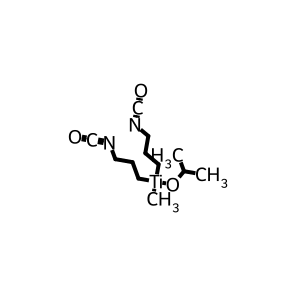 CC(C)[O][Ti]([CH3])([CH2]CCN=C=O)[CH2]CCN=C=O